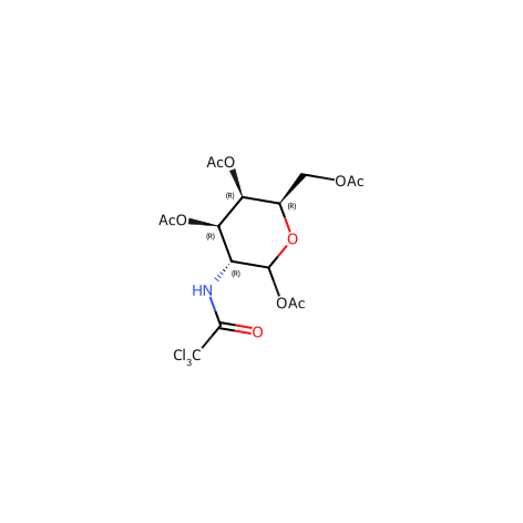 CC(=O)OC[C@H]1OC(OC(C)=O)[C@H](NC(=O)C(Cl)(Cl)Cl)[C@@H](OC(C)=O)[C@H]1OC(C)=O